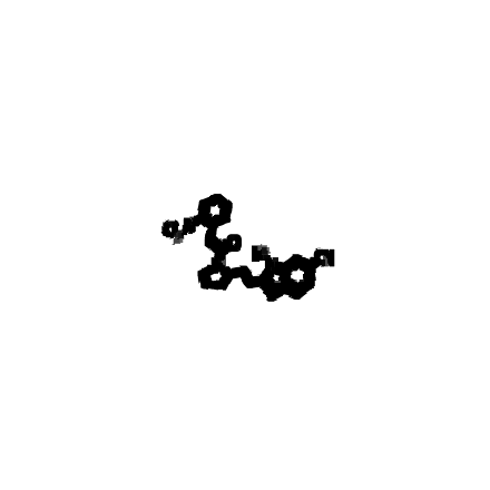 CCn1c(CCC2CCCN2C(=O)Cc2ccccc2[N+](=O)[O-])cc2ccc(C#N)cc21